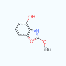 CCC(C)Oc1nc2c(O)cccc2o1